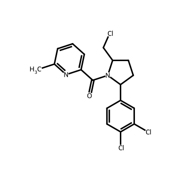 Cc1cccc(C(=O)N2C(CCl)CCC2c2ccc(Cl)c(Cl)c2)n1